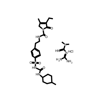 CCC1=C(C)CN(C(=O)NCCc2ccc(S(=O)(=O)NC(=O)NC3CCC(C)CC3)cc2)C1=O.CN(C)C(=N)N=C(N)N.Cl